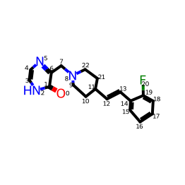 O=c1[nH]ccnc1CN1CCC(/C=C/c2ccccc2F)CC1